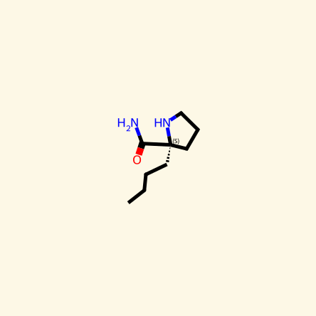 CCCC[C@@]1(C(N)=O)CCCN1